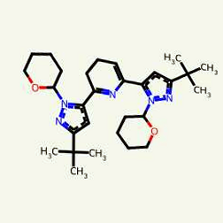 CC(C)(C)c1cc(C2=CCCC(c3cc(C(C)(C)C)nn3C3CCCCO3)=N2)n(C2CCCCO2)n1